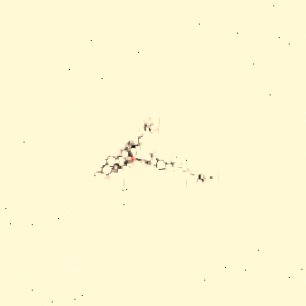 COc1cc(C(=O)OCCCCON(O)O)ccc1OC(=O)OCC(=O)[C@@]1(OC(=O)CCCON(O)O)[C@H](O)CC2C3CCC4=CC(=O)C=CC4(C)[C@@]3(F)[C@@H](O)C[C@@]21C